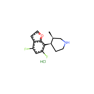 C[C@H]1CNCC[C@H]1c1c(F)cc(F)c2ccoc12.Cl